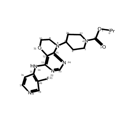 CC(C)OC(=O)N1CCC(N2CCOc3c(Nc4ccncc4F)ncnc32)CC1